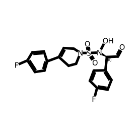 O=C[C@@H](c1ccc(F)cc1)N(O)S(=O)(=O)N1CC=C(c2ccc(F)cc2)CC1